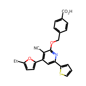 CCc1ccc(-c2cc(-c3cccs3)nc(OCc3ccc(C(=O)O)cc3)c2C#N)o1